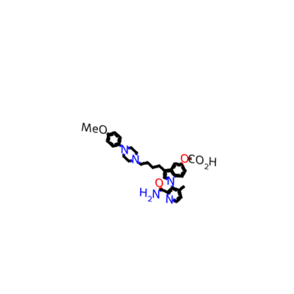 COc1ccc(N2CCN(CCCCc3cn(-c4c(C)ccnc4C(N)=O)c4ccc(OC(=O)O)cc34)CC2)cc1